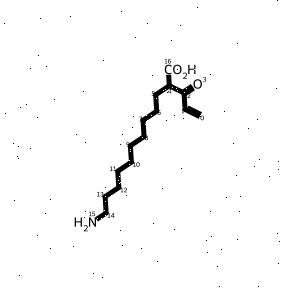 C=CC(=O)C(CCCCCCCCCCN)C(=O)O